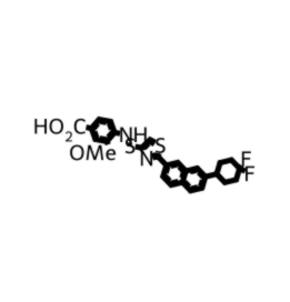 COc1cc(C(=O)O)ccc1NSc1csc(-c2ccc3ccc(C4CCC(F)(F)CC4)cc3c2)n1